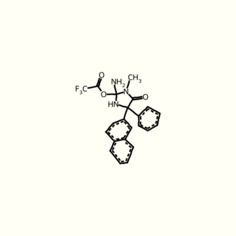 CN1C(=O)C(c2ccccc2)(c2ccc3ccccc3c2)NC1(N)OC(=O)C(F)(F)F